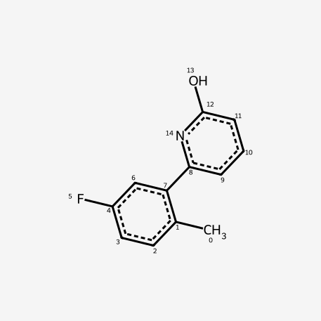 Cc1ccc(F)cc1-c1cccc(O)n1